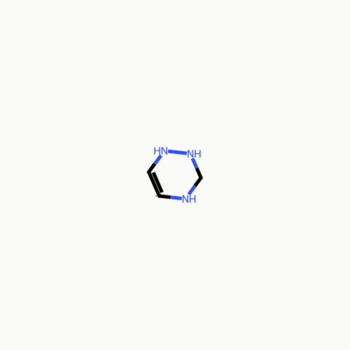 [C]1=CNNCN1